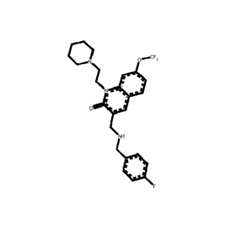 O=c1c(CNCc2ccc(F)cc2)cc2ccc(OC(F)(F)F)cc2n1CCN1CCCCC1